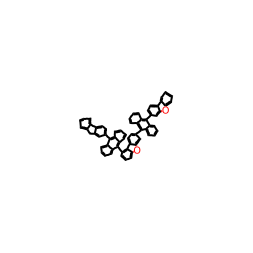 c1ccc2c(c1)Cc1cc(-c3c4ccccc4c(-c4cccc5oc6cc(-c7c8ccccc8c(-c8ccc9c(c8)oc8ccccc89)c8ccccc78)ccc6c45)c4ccccc34)ccc1-2